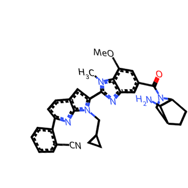 COc1cc(C(=O)N2CC3CCC2C3N)cc2nc(-c3cc4ccc(-c5ccccc5C#N)nc4n3CC3CC3)n(C)c12